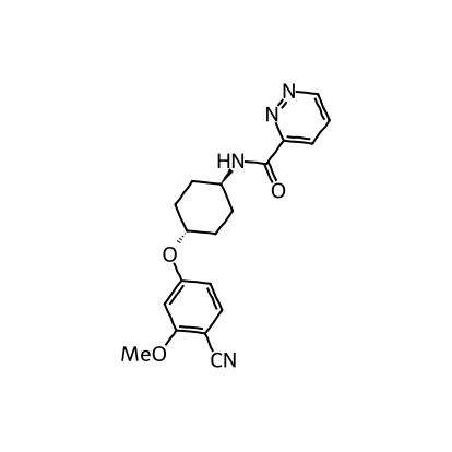 COc1cc(O[C@H]2CC[C@H](NC(=O)c3cccnn3)CC2)ccc1C#N